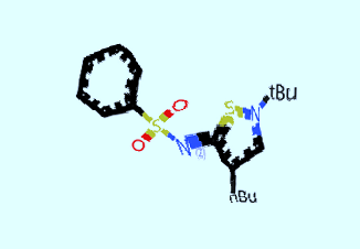 CCCCc1cn(C(C)(C)C)s/c1=N\S(=O)(=O)c1ccccc1